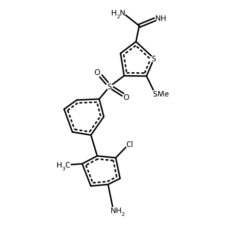 CSc1sc(C(=N)N)cc1S(=O)(=O)c1cccc(-c2c(C)cc(N)cc2Cl)c1